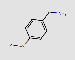 CC(C)Sc1ccc(CN)cc1